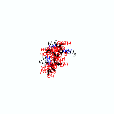 CO[C@H](OC1C(O)[C@H](O[C@H]2CC(NC(C)=O)[C@H](O[C@@H]3C(CO)O[C@@H](C)C(NC(C)=O)C3O)OC2CO)OC(CO[C@H]2OC(CO)[C@@H](O)C(O)C2O)[C@H]1O)C(O[C@@H]1OC(CO)[C@@H](O[C@@H]2OC(CO)[C@H](O)C(O)C2O)CC1NC(C)=O)C(O)[C@H](O)CCO